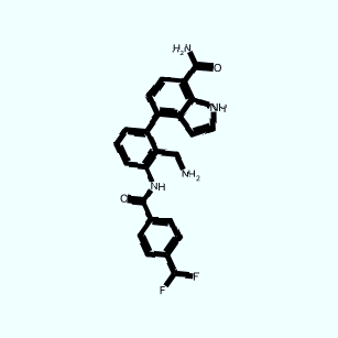 NCc1c(NC(=O)c2ccc(C(F)F)cc2)cccc1-c1ccc(C(N)=O)c2[nH]ccc12